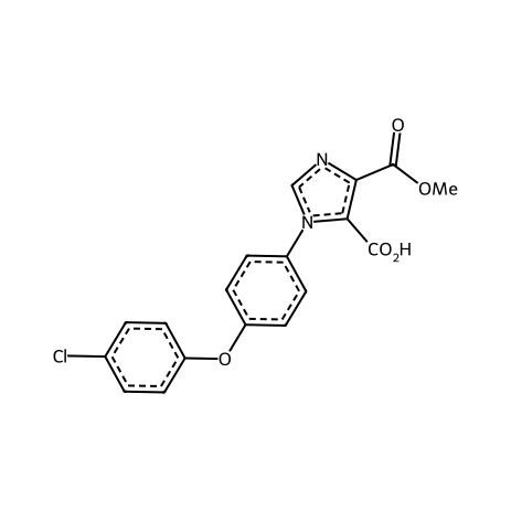 COC(=O)c1ncn(-c2ccc(Oc3ccc(Cl)cc3)cc2)c1C(=O)O